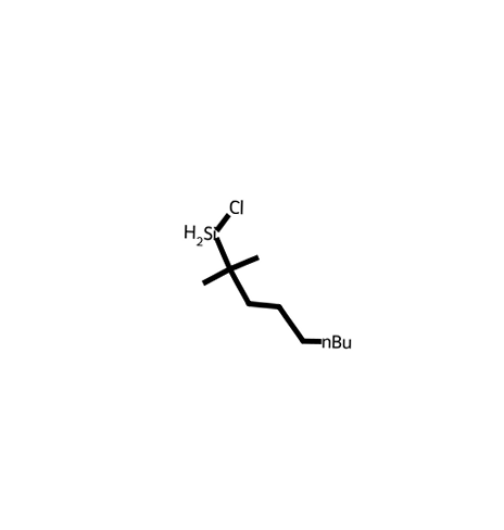 CCCCCCCC(C)(C)[SiH2]Cl